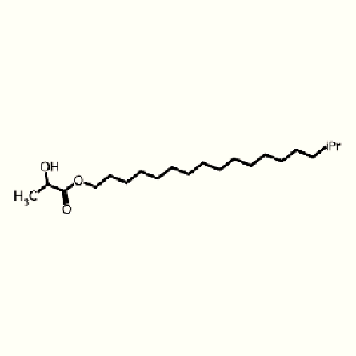 CC(C)CCCCCCCCCCCCCCCOC(=O)C(C)O